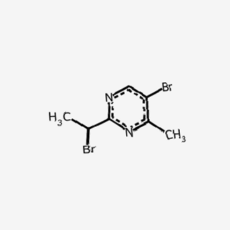 Cc1nc(C(C)Br)ncc1Br